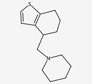 c1cc2c(s1)CCCC2CN1CCCCC1